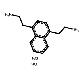 Cl.Cl.NCCc1ccc(CCN)c2ccccc12